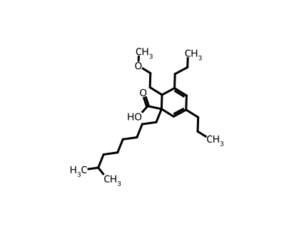 CCCC1=CC(CCCCCCC(C)C)(C(=O)O)C(CCOC)C(CCC)=C1